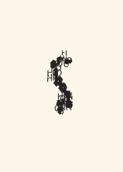 COC(=O)NC[C@@H](C)CC(=O)N1CCC[C@H]1C(=O)NC(=O)Nc1ccc(-c2ccc(-c3cnc(C4CCCN4C(=O)[C@@H](NC(=O)OC)C(C)C)[nH]3)cc2)cc1